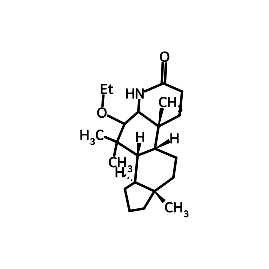 CCOC1C2NC(=O)CC[C@]2(C)[C@@H]2CC[C@]3(C)CCC[C@H]3[C@@H]2C1(C)C